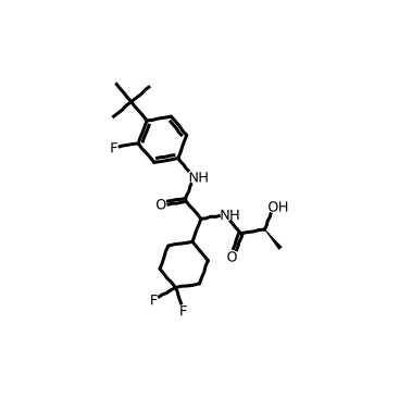 C[C@H](O)C(=O)NC(C(=O)Nc1ccc(C(C)(C)C)c(F)c1)C1CCC(F)(F)CC1